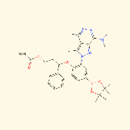 CNC(=O)OCCC(Oc1ccc(B2OC(C)(C)C(C)(C)O2)cc1-n1nc2c(N(C)C)nnc(C)c2c1C)c1ccccc1